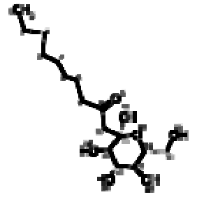 CCCCCCCCC(=O)C[C@@]1(O)O[C@H](CO)[C@@H](O)[C@H](O)[C@H]1O